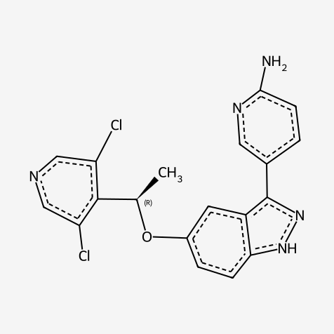 C[C@@H](Oc1ccc2[nH]nc(-c3ccc(N)nc3)c2c1)c1c(Cl)cncc1Cl